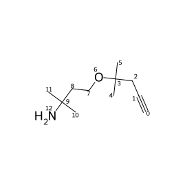 C#CCC(C)(C)OCCC(C)(C)N